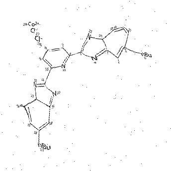 CCCCC1=CC2=NC(c3cccc(C4=NC5C=CC(CCCC)=CC5=N4)n3)=NC2C=C1.[Cl-].[Cl-].[Co+2]